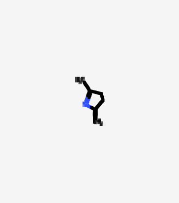 C=C1CCC(C)=N1